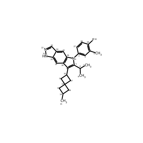 Cc1cc(-n2c(C(C)C)c(C3CC4(CC(C)C4)C3)c3cc4[nH]ncc4cc32)ccc1F